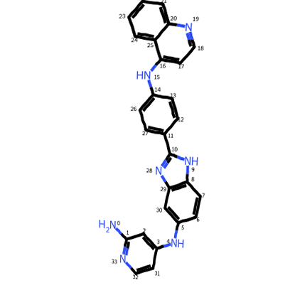 Nc1cc(Nc2ccc3[nH]c(-c4ccc(Nc5ccnc6ccccc56)cc4)nc3c2)ccn1